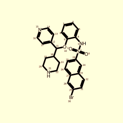 O=S(=O)(Nc1ccccc1OC(c1ccncc1)C1CCNCC1)c1ccc2cc(Br)ccc2c1